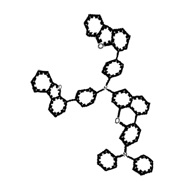 c1ccc(N(c2ccccc2)c2ccc3c(c2)Oc2cc(N(c4ccc(-c5cccc6c5oc5ccccc56)cc4)c4ccc(-c5cccc6c5oc5ccccc56)cc4)cc4cccc-3c24)cc1